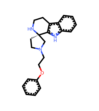 c1ccc(OCCN2CC[C@]3(C2)NCCc2c3[nH]c3ccccc23)cc1